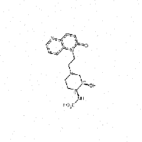 O=C(O)N[C@H]1CCN(CCn2c(=O)ccc3ncccc32)C[C@H]1O